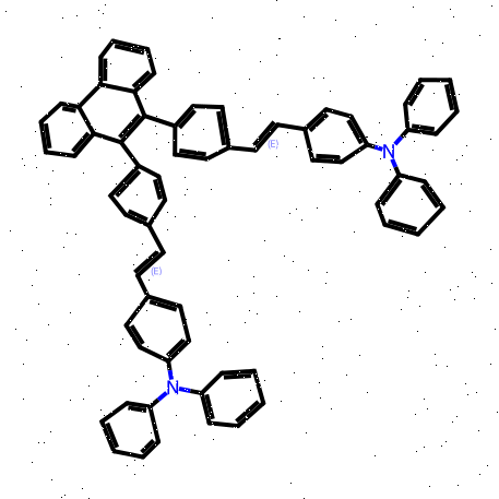 C(=C\c1ccc(N(c2ccccc2)c2ccccc2)cc1)/c1ccc(-c2c(-c3ccc(/C=C/c4ccc(N(c5ccccc5)c5ccccc5)cc4)cc3)c3ccccc3c3ccccc23)cc1